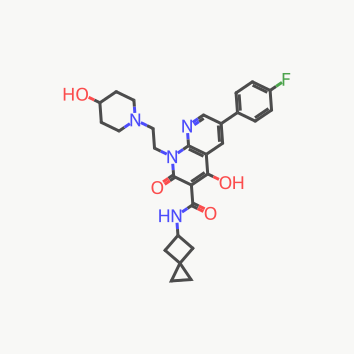 O=C(NC1CC2(CC2)C1)c1c(O)c2cc(-c3ccc(F)cc3)cnc2n(CCN2CCC(O)CC2)c1=O